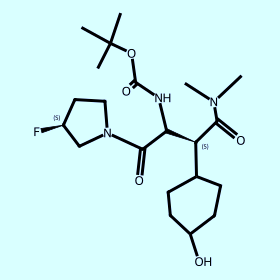 CN(C)C(=O)[C@@H](C1CCC(O)CC1)C(NC(=O)OC(C)(C)C)C(=O)N1CC[C@H](F)C1